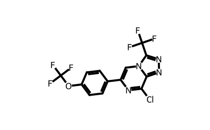 FC(F)(F)Oc1ccc(-c2cn3c(C(F)(F)F)nnc3c(Cl)n2)cc1